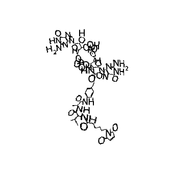 CC(C)[C@H](NC(=O)CCCCCN1C(=O)C=CC1=O)C(=O)N[C@@H](C)C(=O)Nc1ccc(COC(=O)NC2C3OP(=O)(O)OC[C@H]4O[C@@H](n5cnc6c(=O)[nH]c(N)nc65)C(O)C4OP(=O)(O)OC[C@H]3O[C@H]2n2cnc3c(=O)[nH]c(N)nc32)cc1